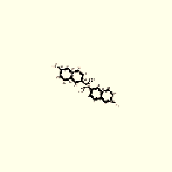 O=S(=O)(c1ccc2cc(F)ccc2c1)c1ccc2cc(F)ccc2c1